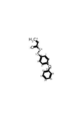 C=CC(=O)SSc1ccc(Oc2ccccc2)cc1